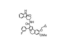 COc1cc2c(cc1OCC1CC1)-c1cc(C(=O)NC(CO)Cc3c[nH]c4ccccc34)c(-c3cccc(F)c3)n1CC2